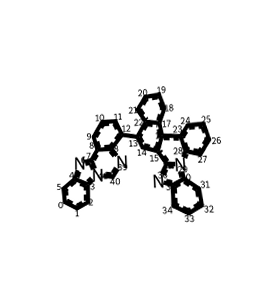 c1ccc2c(c1)nc1c3cccc(-c4cc5c(c6ccccc46)c4ccccc4n4c6ccccc6nc54)c3ncn21